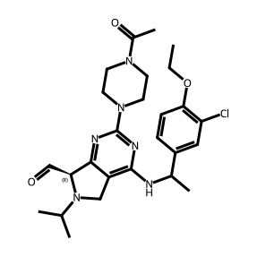 CCOc1ccc(C(C)Nc2nc(N3CCN(C(C)=O)CC3)nc3c2CN(C(C)C)[C@H]3C=O)cc1Cl